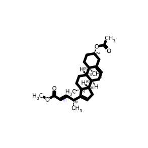 COC(=O)/C=C/[C@@H](C)C1=CC[C@H]2[C@@H]3CC=C4C[C@@H](OC(C)=O)CC[C@]4(C)[C@H]3CC[C@]12C